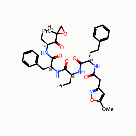 COc1cc(CC(=O)N[C@@H](CCc2ccccc2)C(=O)N[C@@H](CC(C)C)C(=O)N[C@@H](Cc2ccccc2)C(=O)N[C@@H](CC(C)C)C(=O)C2(C)CO2)no1